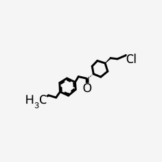 CCCc1ccc(CC(=O)[C@H]2CC[C@H](CCCCl)CC2)cc1